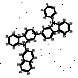 c1ccc(-n2c3cc(-c4ccc5c6ccccc6n(-c6ccc7ccccc7c6)c5c4)ccc3c3ncccc32)cc1